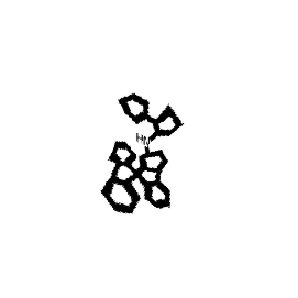 c1ccc(-c2ccccc2Nc2ccc3c(c2)C2(c4ccccc4-c4ccccc42)c2ccccc2-3)cc1